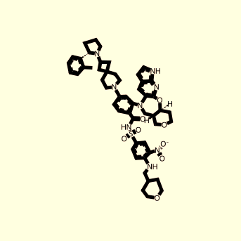 Cc1ccccc1[C@@H]1CCCN1C1CC2(CCN(c3ccc(C(=O)NS(=O)(=O)c4ccc(NCC5CCOCC5)c([N+](=O)[O-])c4)c(N4C[C@H]5COCC[C@@H]5Oc5nc6[nH]ccc6cc54)c3)CC2)C1